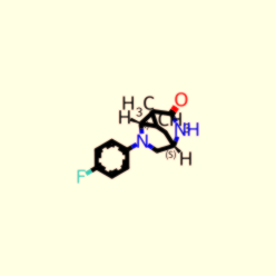 CC1(C)C[C@H]2CN(c3ccc(F)cc3)[C@@H]1CC(=O)N2